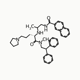 CC(CNC(=O)c1ccc2ccccc2c1)N[C@@H](CCCN1CCCC1)C(=O)N(C)CC(c1ccccc1)c1ccccc1